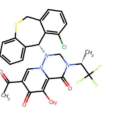 CC(=O)c1cn2c(c(O)c1=O)C(=O)N([C@H](C)C(F)(F)F)CN2[C@@H]1c2ccccc2SCc2cccc(Cl)c21